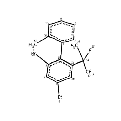 CCc1[c]c(Br)c(-c2ccccc2C)c(C(F)(C(F)(F)F)C(F)(F)F)c1